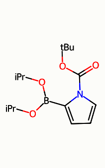 CC(C)OB(OC(C)C)c1cccn1C(=O)OC(C)(C)C